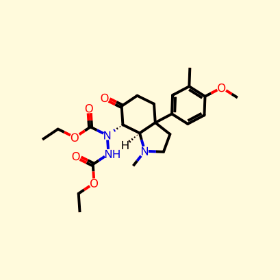 CCOC(=O)NN(C(=O)OCC)[C@@H]1C(=O)CCC2(c3ccc(OC)c(C)c3)CCN(C)[C@@H]12